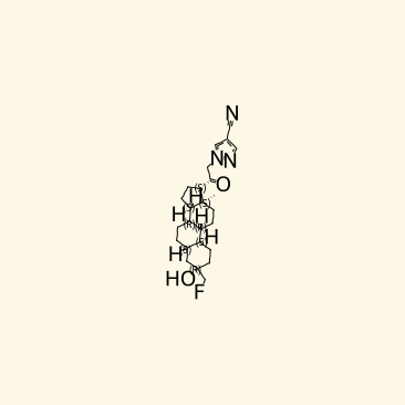 C[C@]12CC[C@H]3[C@@H](CC[C@H]4C[C@@](O)(CF)CC[C@@H]43)[C@@H]1CC[C@@H]2C(=O)Cn1cc(C#N)cn1